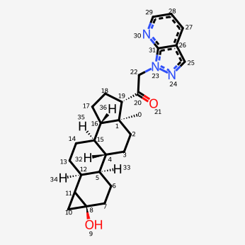 C[C@]12CC[C@@H]3[C@H]4CC[C@]5(O)CC5[C@H]4CC[C@H]3[C@@H]1CC[C@@H]2C(=O)Cn1ncc2cccnc21